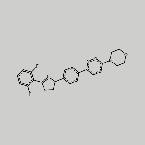 Fc1cccc(F)c1C1=NC(c2ccc(-c3ccc(N4CCOCC4)nn3)cc2)CC1